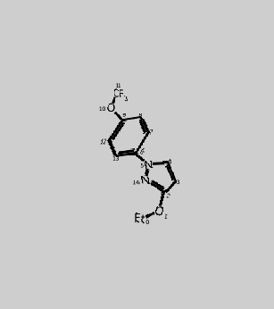 CCOc1ccn(-c2ccc(OC(F)(F)F)cc2)n1